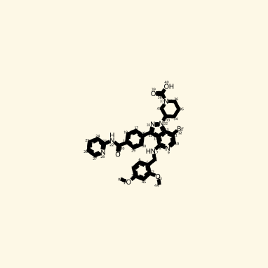 COc1ccc(CNc2ncc(Br)c3c2c(-c2ccc(C(=O)Nc4ccccn4)cc2)nn3C2CCCN(C(=O)O)C2)c(OC)c1